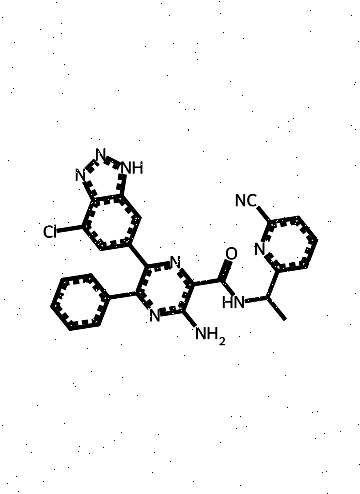 CC(NC(=O)c1nc(-c2cc(Cl)c3nn[nH]c3c2)c(-c2ccccc2)nc1N)c1cccc(C#N)n1